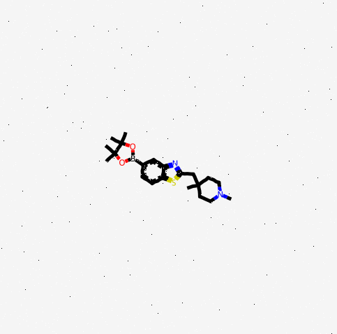 CN1CCC(C)(Cc2nc3cc(B4OC(C)(C)C(C)(C)O4)ccc3s2)CC1